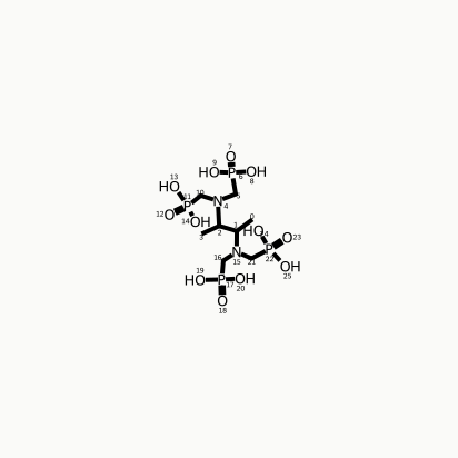 CC(C(C)N(CP(=O)(O)O)CP(=O)(O)O)N(CP(=O)(O)O)CP(=O)(O)O